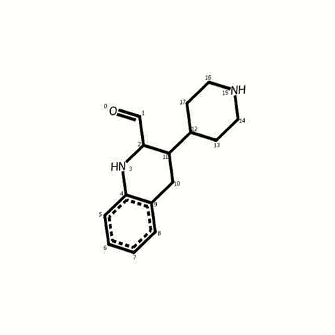 O=CC1Nc2ccccc2CC1C1CCNCC1